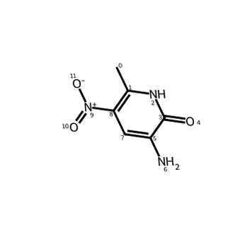 Cc1[nH]c(=O)c(N)cc1[N+](=O)[O-]